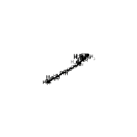 COc1cc(/C=C/C(=O)NC(Cc2ccc(OCc3c(C)cccc3I)cc2)C(=O)NC2CC(C)(C)NC(C)(C)C2)cc(Br)c1OCCOCCOCCOCCOCCOCCOCCOCCNC(=O)CCCCCNC(=O)CCCCCNC(=O)CCCC[C@@H]1SC[C@@H]2NC(=O)N[C@@H]21